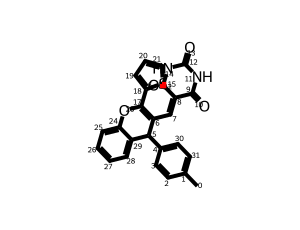 Cc1ccc(C2C(C=C3C(=O)NC(=O)NC3=O)=C(c3cccs3)Oc3ccccc32)cc1